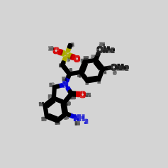 COc1ccc(C(CS(C)(=O)=O)N2Cc3cccc(N)c3C2=O)cc1OC